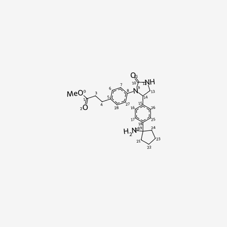 COC(=O)CCc1ccc(N2C(=O)NCC2c2ccc(C3(N)CCCC3)cc2)cc1